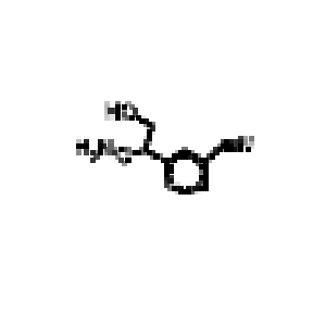 N#Cc1cccc(C(CO)ON)c1